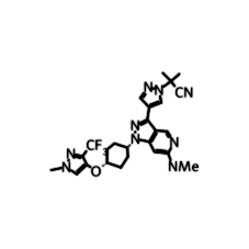 CNc1cc2c(cn1)c(-c1cnn(C(C)(C)C#N)c1)nn2[C@H]1CC[C@@H](Oc2cn(C)nc2C(F)(F)F)CC1